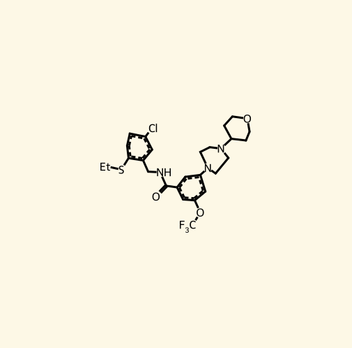 CCSc1ccc(Cl)cc1CNC(=O)c1cc(OC(F)(F)F)cc(N2CCN(C3CCOCC3)CC2)c1